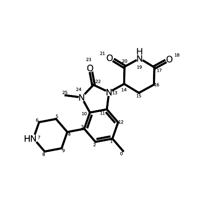 Cc1cc(C2CCNCC2)c2c(c1)n(C1CCC(=O)NC1=O)c(=O)n2C